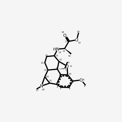 CC[C@@]12c3c4ccc(OC)c3OC1C(N[C@H](C)C(=O)OC)CCC2C1C4N1C